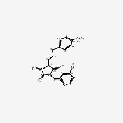 CCCN1C(=O)N(Cc2cccc(Cl)c2)C(=O)C1CCCc1ccc(OC)cc1